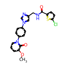 COc1cccn(-c2ccc(-n3cnc(CNC(=O)c4ccc(Cl)s4)c3)cc2)c1=O